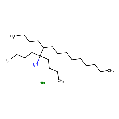 Br.CCCCCCCCCC(CCCC)C(N)(CCCC)CCCC